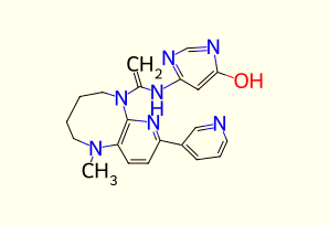 C=C(Nc1cc(O)ncn1)N1CCCCN(C)c2ccc(-c3cccnc3)nc21